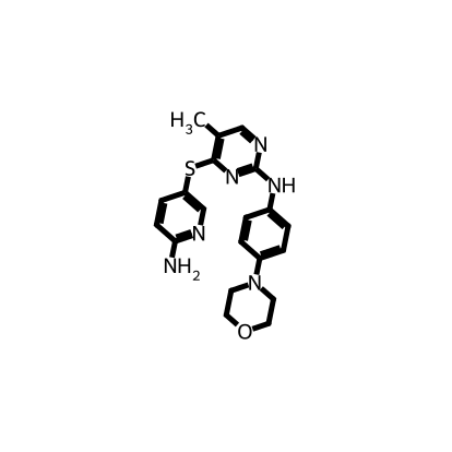 Cc1cnc(Nc2ccc(N3CCOCC3)cc2)nc1Sc1ccc(N)nc1